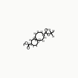 COC(=O)C1CCCC2(CCCCN(C(=O)OC(C)(C)C)CCC2)CC1